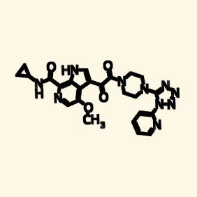 COc1cnc(C(=O)NC2CC2)c2[nH]cc(C(=O)C(=O)N3CCN(c4nnnn4-c4ccccn4)CC3)c12